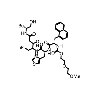 CCC(C)[C@@H](CO)NC(=O)CC(O)C(CC(C)C)NC(=O)[C@H](Cc1cscn1)NC(=O)[C@H](Cc1cccc2ccccc12)NC(=O)OCCOCCOC